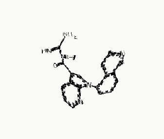 N=C(N)NC(=O)c1cn(-c2cccc3cnccc23)c2ncccc12